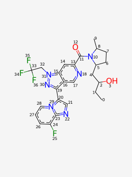 CCC(O)CC1CCC(C)N1C(=O)c1cc2c(cn1)c(-c1cnc3c(F)cccn13)nn2CC(F)(F)F